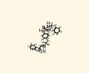 CC(C)(Cc1ccc(NS(=O)(=O)NC(C)(C)Cc2ccccc2)cc1)NC[C@H](O)c1cccnc1